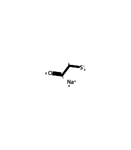 O=CC[S-].[Na+]